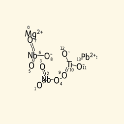 [Mg+2].[O]=[Nb](=[O])[O-].[O]=[Nb](=[O])[O-].[O]=[Ti]([O-])[O-].[Pb+2]